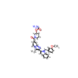 COc1cccc(Cn2c(-c3nc4cc(C(=O)N5CCCC(OC(N)=O)C5)ccn4c3C)cc3ccccc32)c1